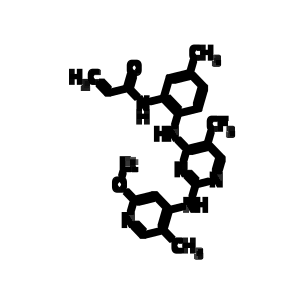 C=CC(=O)Nc1cc(C)ccc1Nc1nc(Nc2cc(OCC)ncc2C)ncc1C(F)(F)F